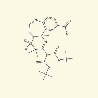 CC(C)(C)OC(=O)N(C(=O)OC(C)(C)C)C1=NC2(C)c3cc([N+](=O)[O-])ccc3OCCC2(C)S(=O)(=O)C1(C)C